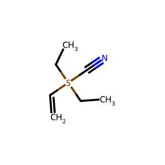 C=CS(C#N)(CC)CC